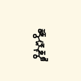 C[C@H](NC(=O)C(C)(C)C)c1ncc(C(=O)NO)s1